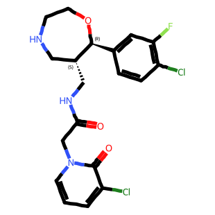 O=C(Cn1cccc(Cl)c1=O)NC[C@@H]1CNCCO[C@H]1c1ccc(Cl)c(F)c1